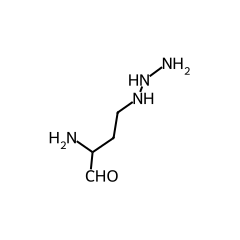 NNNCCC(N)C=O